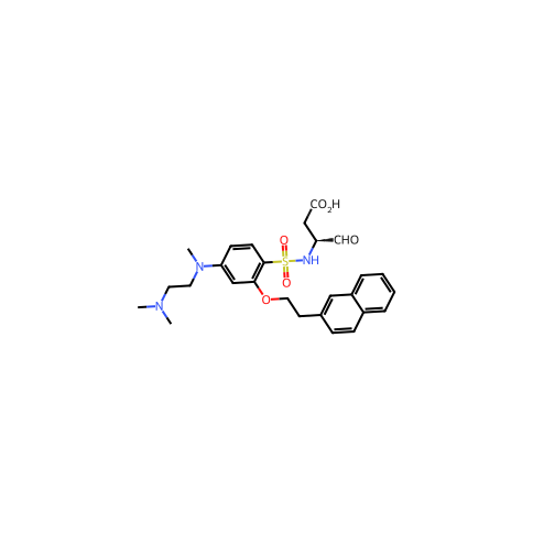 CN(C)CCN(C)c1ccc(S(=O)(=O)N[C@H](C=O)CC(=O)O)c(OCCc2ccc3ccccc3c2)c1